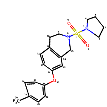 O=S(=O)(N1CCCC1)N1CCc2ccc(Oc3ccc(C(F)(F)F)cc3)cc2C1